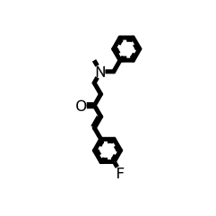 CN(CCC(=O)/C=C/c1ccc(F)cc1)Cc1ccccc1